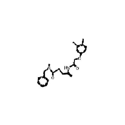 C=C(CCC(=O)N(C)Cc1ccccc1)NC(=O)COc1ccc(C)c(C)c1